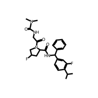 CC(C)c1ccc(C(NC(=O)C2CC(F)CN2C(=O)CNC(=O)N(C)C)c2ccccc2)cc1F